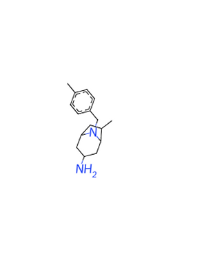 Cc1ccc(CN2C3CC(N)CC2C(C)C3)cc1